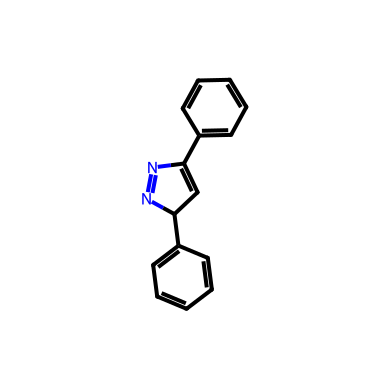 C1=C(c2ccccc2)N=NC1c1ccccc1